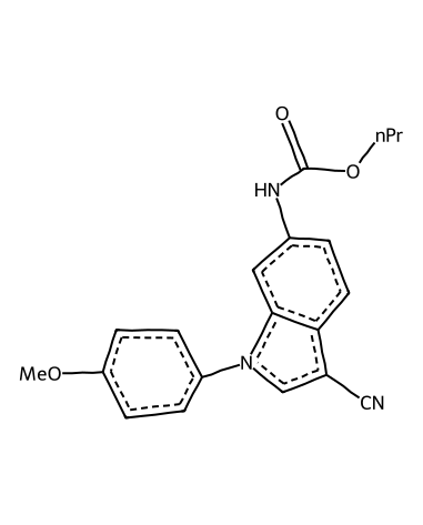 CCCOC(=O)Nc1ccc2c(C#N)cn(-c3ccc(OC)cc3)c2c1